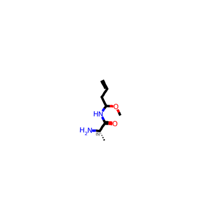 C=CCC(NC(=O)[C@H](C)N)OC